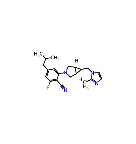 Cc1nccn1CC1[C@H]2CN(c3cc(CC(C)C)cc(F)c3C#N)C[C@@H]12